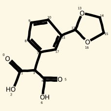 O=C(O)C(C(=O)O)c1cccc(C2OCCO2)c1